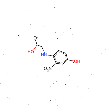 CCC(O)CNc1ccc(O)cc1[N+](=O)[O-]